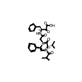 CC(C)C(=O)N1C=C(c2ccccc2)N(CC(=O)N[C@@H](Cc2ccccc2)C(=O)C(=O)O)C(=O)[C@@H]1C(C)C